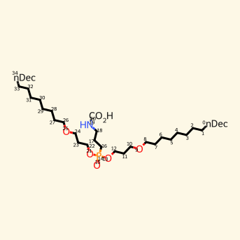 CCCCCCCCCCCCCCCCCCOCCCOP(=O)(CCCNC(=O)O)OCCCOCCCCCCCCCCCCCCCCCC